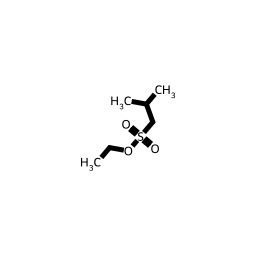 CCOS(=O)(=O)CC(C)C